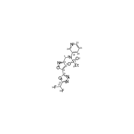 CCS(=O)(=O)N(Cc1cc(-c2nnc(C(F)F)o2)on1)c1cccnc1